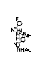 CC(=O)Nc1cncc(-c2ccc3[nH]nc(-c4nc5c(-c6cccc(F)c6)cncc5[nH]4)c3c2)c1